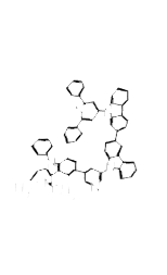 C=Nc1c(/C=C\C)n(-c2ccccc2)c2ccc(-c3cncc(-n4c5ccccc5c5cc(-c6ccc7c8ccccc8n(-c8cc(-c9ccccc9)nc(-c9ccccc9)c8)c7c6)ccc54)c3)cc12